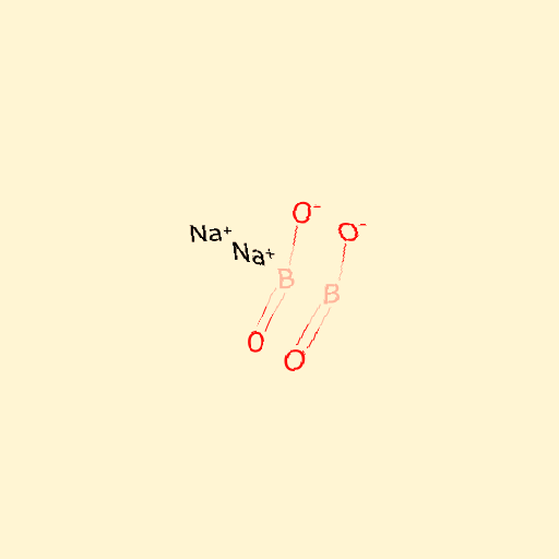 O=B[O-].O=B[O-].[Na+].[Na+]